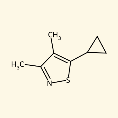 Cc1nsc(C2CC2)c1C